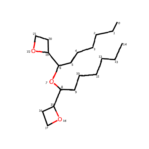 CCCCCCC(OC(CCCCCC)C1CCO1)C1CCO1